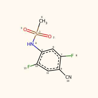 CS(=O)(=O)Nc1cc(F)c(C#N)cc1F